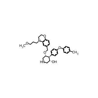 COCCCN1CCOc2ccc(CO[C@H]3CNC[C@@H](O)[C@@H]3c3ccc(Oc4ccc(C)cc4)cc3)cc21